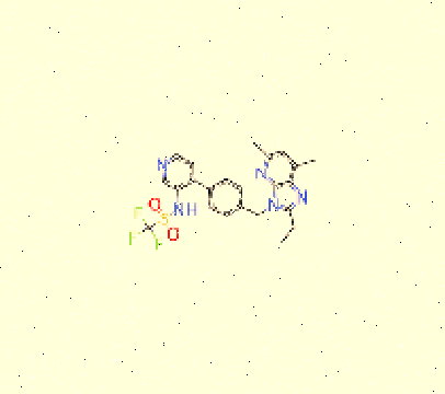 CCc1nc2c(C)cc(C)nc2n1Cc1ccc(-c2ccncc2NS(=O)(=O)C(F)(F)F)cc1